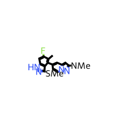 CNc1cc2cc(-c3c(C)c(F)cc4[nH]nc(SC)c34)ccn2n1